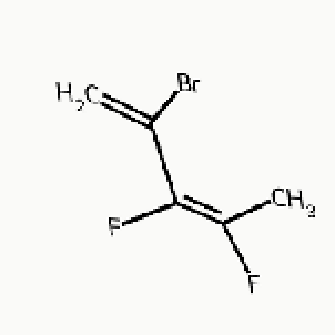 C=C(Br)/C(F)=C(\C)F